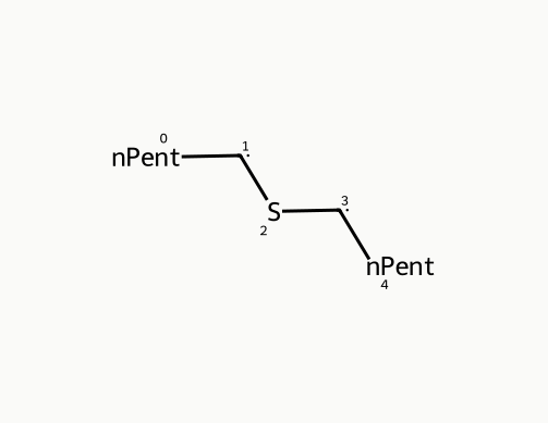 CCCCC[CH]S[CH]CCCCC